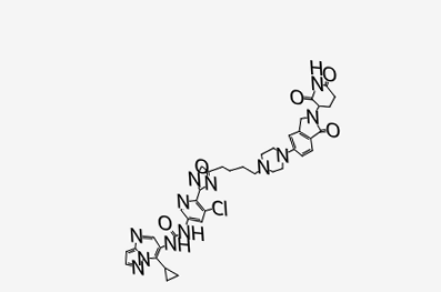 O=C1CCC(N2Cc3cc(N4CCN(CCCCc5nc(-c6ncc(NC(=O)Nc7cnc8ccnn8c7C7CC7)cc6Cl)no5)CC4)ccc3C2=O)C(=O)N1